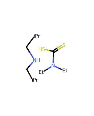 CC(C)CNCC(C)C.CCN(CC)C(=S)S